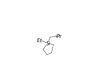 CC[Si]1(CC(C)C)CCCC1